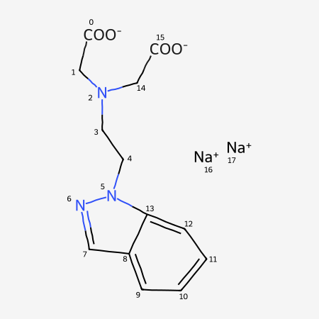 O=C([O-])CN(CCn1ncc2ccccc21)CC(=O)[O-].[Na+].[Na+]